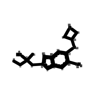 CCC(C)(O)Cn1cc2cc(N)c(OC3COC3)cc2n1